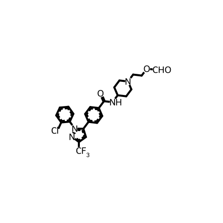 O=COCCN1CCC(NC(=O)c2ccc(-c3cc(C(F)(F)F)nn3-c3ccccc3Cl)cc2)CC1